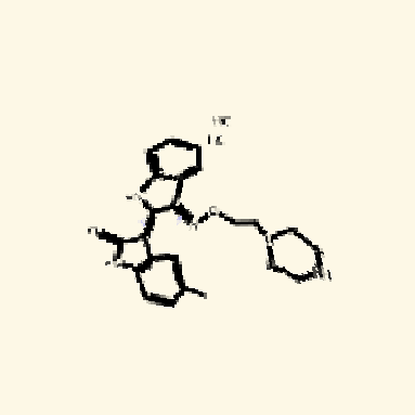 Cl.Cl.O=C1Nc2ccc(I)cc2/C1=C1/Nc2ccccc2/C1=N\OCCN1CCNCC1